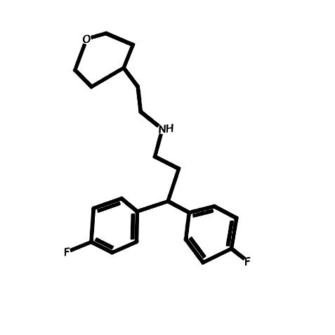 Fc1ccc(C(CCNCCC2CCOCC2)c2ccc(F)cc2)cc1